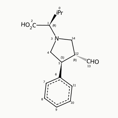 CC(C)[C@H](C(=O)O)N1C[C@H](c2ccccc2)[C@@H](C=O)C1